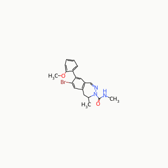 CNC(=O)N1N=Cc2cc(-c3ccccc3OC)c(Br)cc2CC1C